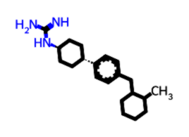 CC1CCCCC1Cc1ccc([C@H]2CC[C@H](NC(=N)N)CC2)cc1